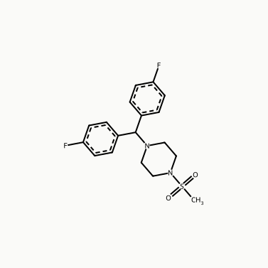 CS(=O)(=O)N1CCN(C(c2ccc(F)cc2)c2ccc(F)cc2)CC1